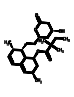 CCC(C)(C)C(=O)O[C@H]1C[C@@H](C)C=C2C=C[C@H](C)[C@H](CC[C@@H]3C[C@@H](O)CC(=O)O3)C21